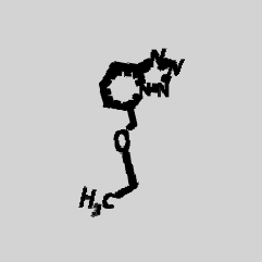 CCOCc1cccc2nnnn12